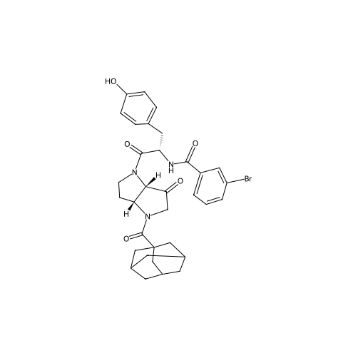 O=C(N[C@@H](Cc1ccc(O)cc1)C(=O)N1CC[C@@H]2[C@H]1C(=O)CN2C(=O)C12CC3CC(CC(C3)C1)C2)c1cccc(Br)c1